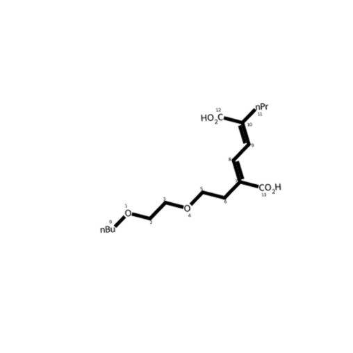 CCCCOCCOCCC(=CC=C(CCC)C(=O)O)C(=O)O